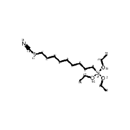 CCO[Si](CCCCCCCCCSC#N)(OCC)OCC